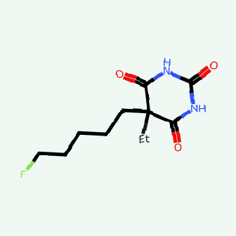 CCC1(CCCCCF)C(=O)NC(=O)NC1=O